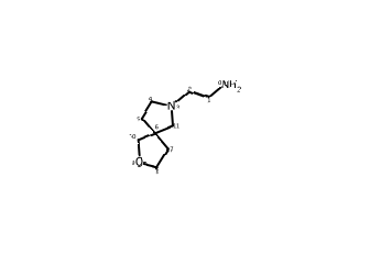 NCCN1CCC2(CCOC2)C1